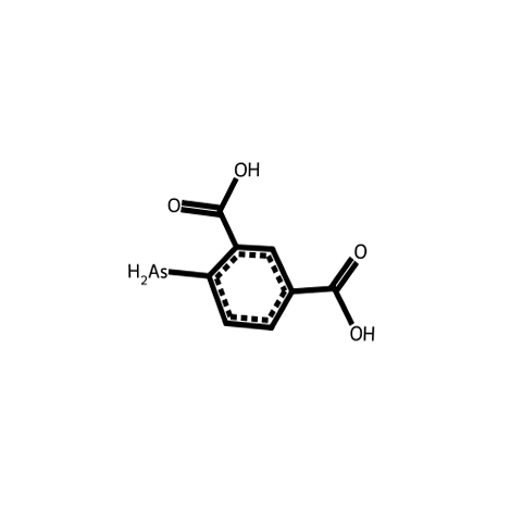 O=C(O)c1ccc([AsH2])c(C(=O)O)c1